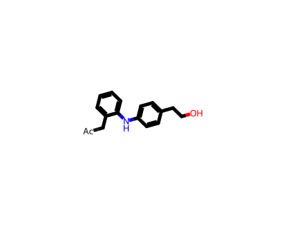 CC(=O)Cc1ccccc1Nc1ccc(CCO)cc1